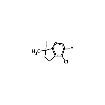 CC1(I)CCc2c1ccc(F)c2Cl